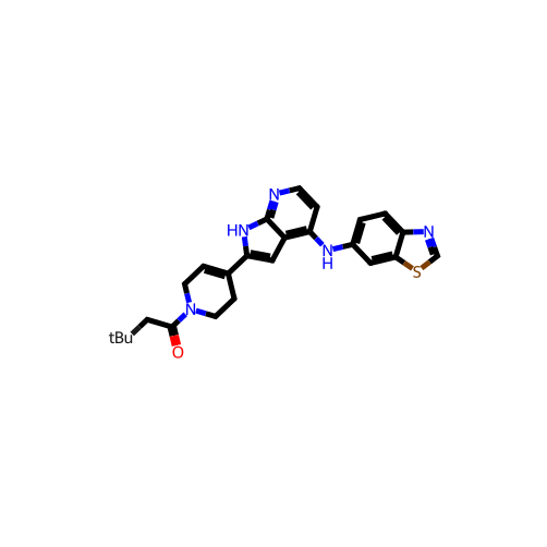 CC(C)(C)CC(=O)N1CC=C(c2cc3c(Nc4ccc5ncsc5c4)ccnc3[nH]2)CC1